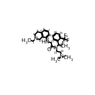 CCN1CCc2cccc(NCC(=O)N(CCN(C)C)C(C)c3ccccc3C(F)(F)F)c2C1